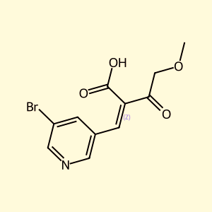 COCC(=O)/C(=C/c1cncc(Br)c1)C(=O)O